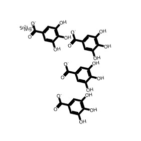 O=C([O-])c1cc(O)c(O)c(O)c1.O=C([O-])c1cc(O)c(O)c(O)c1.O=C([O-])c1cc(O)c(O)c(O)c1.O=C([O-])c1cc(O)c(O)c(O)c1.[Mg+2].[Sr+2]